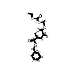 CCOC(=O)OC(C)OC(=O)C(C)CC(C)C(=O)OCc1ccccc1